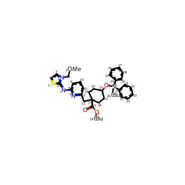 COCn1ccs/c1=N/c1cccc(CC2(C(=O)OC(C)(C)C)CCC(O[Si](c3ccccc3)(c3ccccc3)C(C)(C)C)CC2)n1